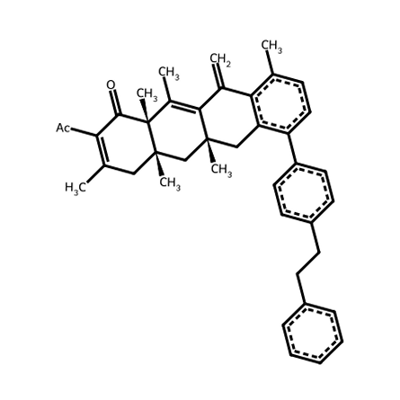 C=C1C2=C(C)[C@@]3(C)C(=O)C(C(C)=O)=C(C)C[C@@]3(C)C[C@@]2(C)Cc2c(-c3ccc(CCc4ccccc4)cc3)ccc(C)c21